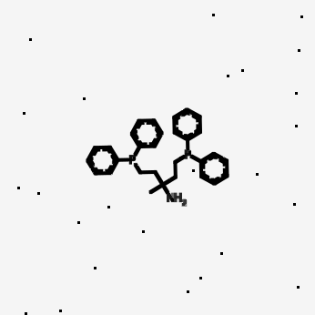 CC(N)(CCP(c1ccccc1)c1ccccc1)CCP(c1ccccc1)c1ccccc1